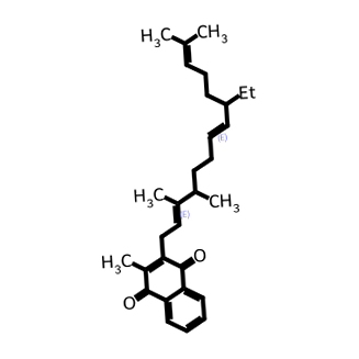 CCC(/C=C/CCC(C)/C(C)=C/CC1=C(C)C(=O)c2ccccc2C1=O)CCC=C(C)C